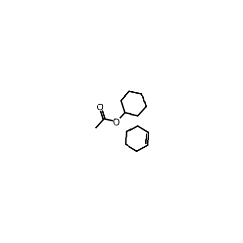 C1=CCCCC1.CC(=O)OC1CCCCC1